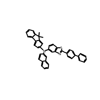 CC1(C)c2ccccc2-c2ccc(N(c3ccc4ccccc4c3)c3ccc4sc(-c5ccc(-c6ccccc6)cc5)nc4c3)cc21